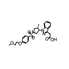 COCCOc1ccc(S(=O)(=O)N2C[C@@H](C)[C@@H](n3nc(CC(=O)O)c4ccccc43)C2)cc1